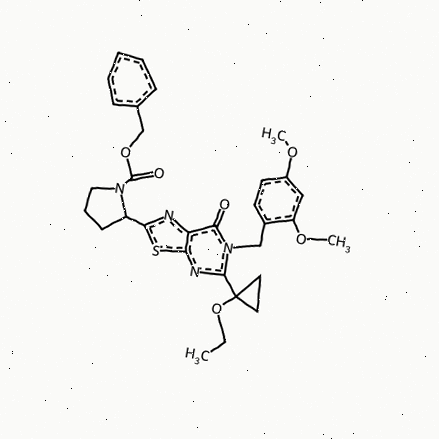 CCOC1(c2nc3sc(C4CCCN4C(=O)OCc4ccccc4)nc3c(=O)n2Cc2ccc(OC)cc2OC)CC1